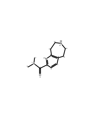 CN(C)C(=O)c1ccc2c(n1)CCNCC2